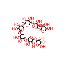 OC1OC[C@@H](O[C@@H]2OC[C@@H](O[C@@H]3OC[C@@H](O[C@@H]4OC[C@@H](O[C@@H]5OC[C@@H](O[C@@H]6OC[C@@H](O[C@@H]7OC[C@@H](O)[C@H](O)[C@H]7O)[C@H](O)[C@H]6O)[C@H](O)[C@H]5O)[C@H](O)[C@H]4O)[C@H](O)[C@H]3O)[C@H](O)[C@H]2O)[C@H](O)[C@H]1O